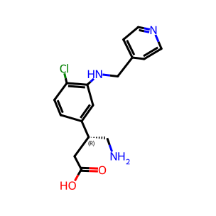 NC[C@H](CC(=O)O)c1ccc(Cl)c(NCc2ccncc2)c1